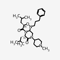 CC(C)C[C@H]1ON(CCCc2ccccc2)C2CN(C3CCN(C)CC3)C(=O)[C@H](CC(C)C)N2C1=O